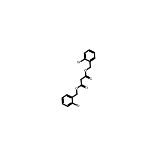 O=C(CC(=O)OCc1ccccc1Br)OCc1ccccc1Br